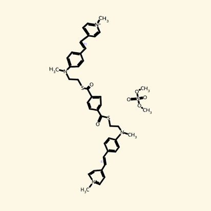 CN(CCSC(=O)c1ccc(C(=O)SCCN(C)c2ccc(/C=C/c3cc[n+](C)cc3)cc2)cc1)c1ccc(/C=C/c2cc[n+](C)cc2)cc1.COS(=O)(=O)OC